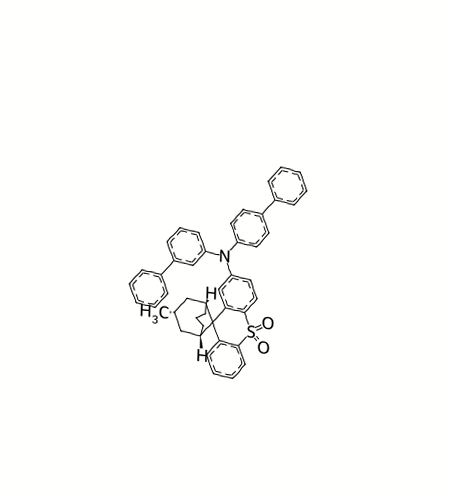 C[C@@H]1C[C@H]2CCC[C@@H](C1)C21c2ccccc2S(=O)(=O)c2ccc(N(c3ccc(-c4ccccc4)cc3)c3cccc(-c4ccccc4)c3)cc21